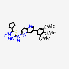 COc1cc(-c2cnc3ccc(NC(=N)SC(=N)C4CCCC4)nc3c2)cc(OC)c1OC